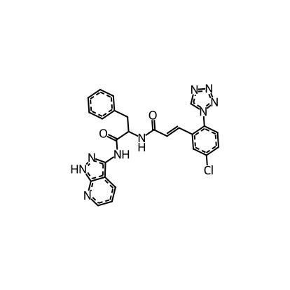 O=C(C=Cc1cc(Cl)ccc1-n1cnnn1)NC(Cc1ccccc1)C(=O)Nc1n[nH]c2ncccc12